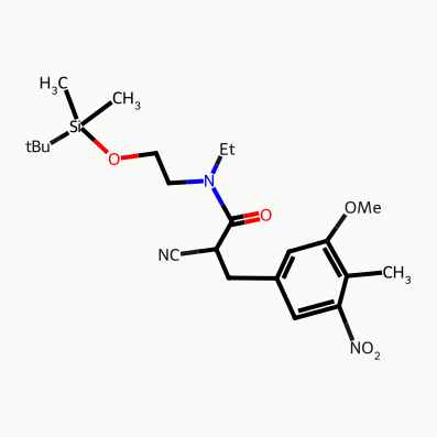 CCN(CCO[Si](C)(C)C(C)(C)C)C(=O)C(C#N)Cc1cc(OC)c(C)c([N+](=O)[O-])c1